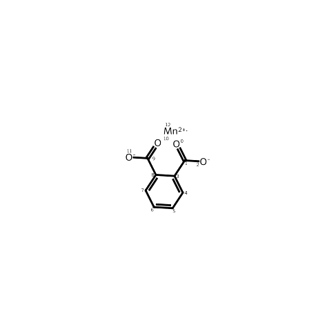 O=C([O-])c1ccccc1C(=O)[O-].[Mn+2]